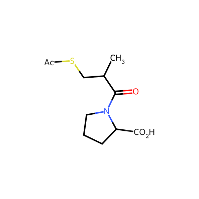 CC(=O)SCC(C)C(=O)N1CCCC1C(=O)O